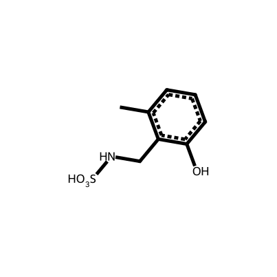 Cc1cccc(O)c1CNS(=O)(=O)O